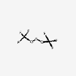 FC(F)(F)OSOC(F)(F)F